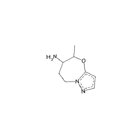 CC1Oc2ccnn2CCC1N